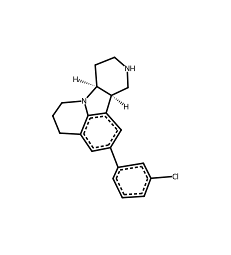 Clc1cccc(-c2cc3c4c(c2)[C@@H]2CNCC[C@@H]2N4CCC3)c1